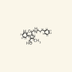 Cc1nc(C(C)CNCCCc2ccccc2)n(-c2ccccc2)c1CO